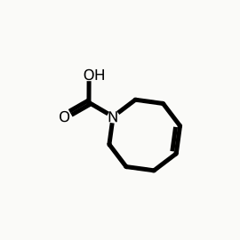 O=C(O)N1CCC=CCCC1